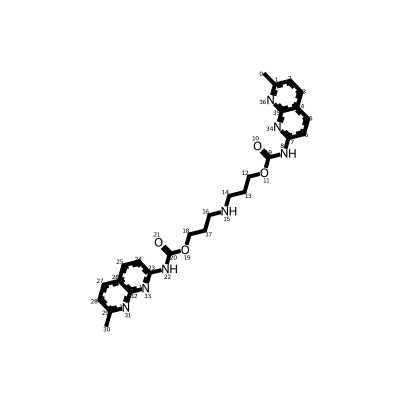 Cc1ccc2ccc(NC(=O)OCCCNCCCOC(=O)Nc3ccc4ccc(C)nc4n3)nc2n1